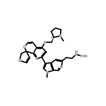 CN1CCC[C@@H]1COc1cc(-c2cn(C)c3cnc(CCNC=O)cc23)nc2c1C=COC21C=COC1